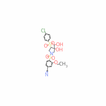 CCOc1cc(C#N)ccc1S(=O)(=O)N1CC(S(=O)(=O)c2ccc(Cl)cc2)[C@](O)(CO)C1